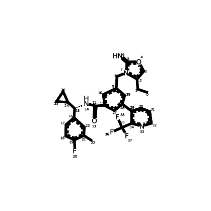 CCc1coc(=N)n1Cc1cc(C(=O)N[C@H](c2ccc(F)c(C)c2)C2CC2)cc(-c2cccnc2C(F)(F)F)c1